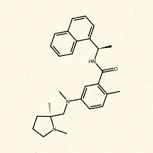 Cc1ccc(N(C)C[C@]2(C)CCCN2C)cc1C(=O)N[C@H](C)c1cccc2ccccc12